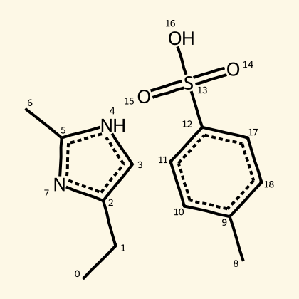 CCc1c[nH]c(C)n1.Cc1ccc(S(=O)(=O)O)cc1